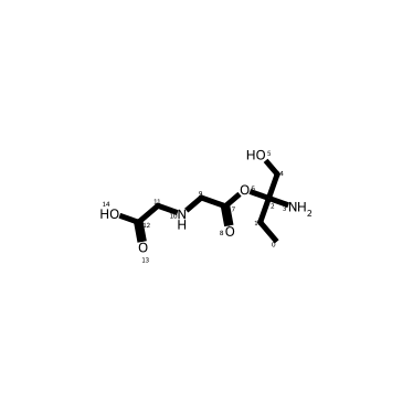 CCC(N)(CO)OC(=O)CNCC(=O)O